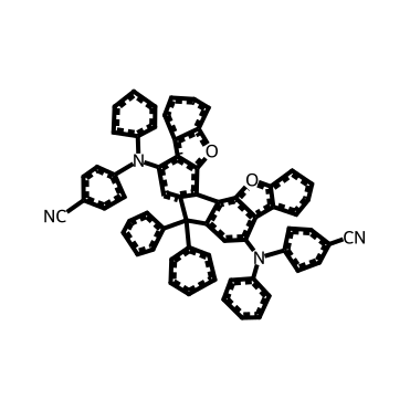 N#Cc1ccc(N(c2ccccc2)c2cc3c(c4oc5ccccc5c24)-c2c(cc(N(c4ccccc4)c4ccc(C#N)cc4)c4c2oc2ccccc24)C3(c2ccccc2)c2ccccc2)cc1